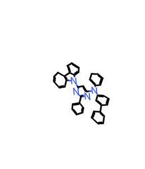 C1=CCC=C(N(c2cccc(-c3ccccc3)c2)c2cc(-n3c4c(c5ccccc53)CC=CC=C4)nc(-c3ccccc3)n2)C=1